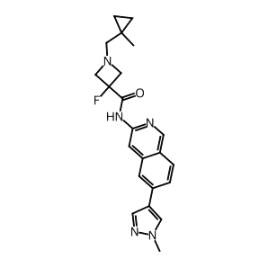 Cn1cc(-c2ccc3cnc(NC(=O)C4(F)CN(CC5(C)CC5)C4)cc3c2)cn1